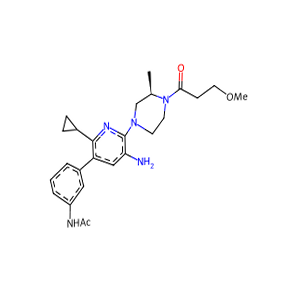 COCCC(=O)N1CCN(c2nc(C3CC3)c(-c3cccc(NC(C)=O)c3)cc2N)C[C@H]1C